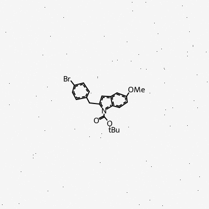 COc1ccc2c(c1)cc(Cc1ccc(Br)cc1)n2C(=O)OC(C)(C)C